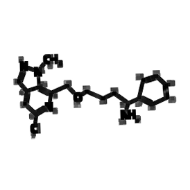 Cn1ncc2cc(Cl)nc(COCCCC(N)c3ccccc3)c21